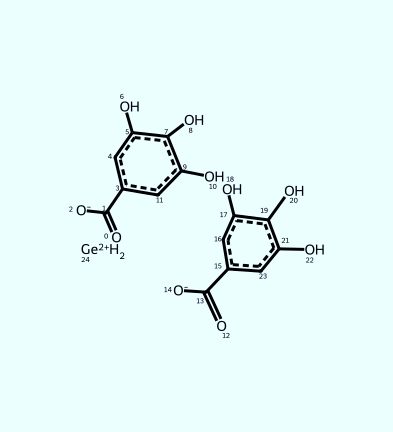 O=C([O-])c1cc(O)c(O)c(O)c1.O=C([O-])c1cc(O)c(O)c(O)c1.[GeH2+2]